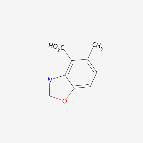 Cc1ccc2ocnc2c1C(=O)O